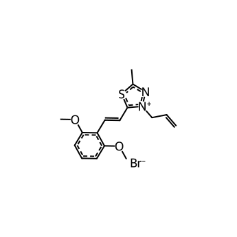 C=CC[n+]1nc(C)sc1C=Cc1c(OC)cccc1OC.[Br-]